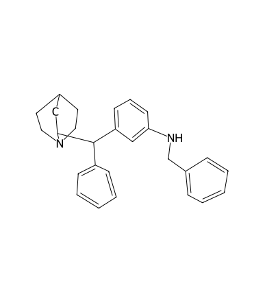 c1ccc(CNc2cccc(C(c3ccccc3)C3CC4CCN3CC4)c2)cc1